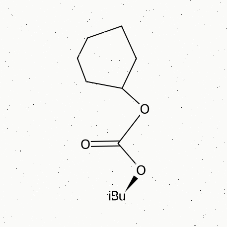 CC[C@H](C)OC(=O)OC1CCCCC1